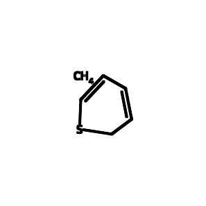 C.C1=CCSC=C1